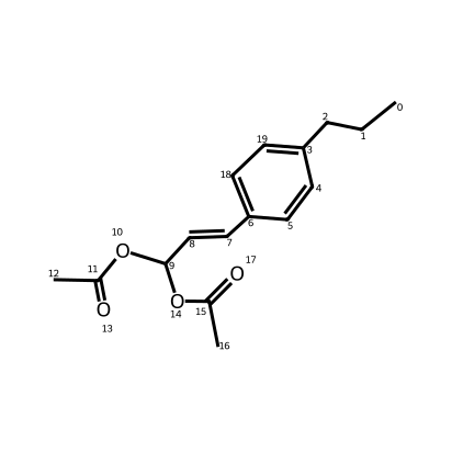 CCCc1ccc(C=CC(OC(C)=O)OC(C)=O)cc1